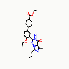 CCCc1nc(C)c2c(=O)[nH]c(-c3cc(C4CCC(C(=O)OCC)CC4)ccc3OCC)nn12